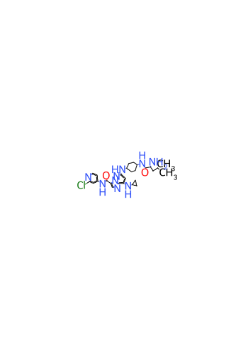 CC(C)C[C@H](N)C(=O)N[C@H]1CC[C@H](Nc2cc(NC3CC3)c3ncc(C(=O)Nc4ccnc(Cl)c4)n3n2)CC1